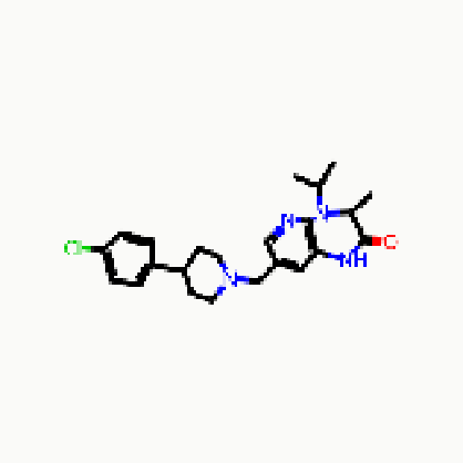 CC(C)N1c2ncc(CN3CCC(c4ccc(Cl)cc4)CC3)cc2NC(=O)C1C